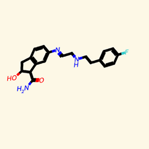 NC(=O)C1c2cc(N=CCNCCc3ccc(F)cc3)ccc2CC1O